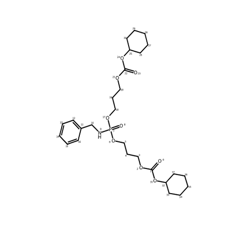 O=C(OCCCOP(=O)(NCc1ccccc1)OCCCOC(=O)OC1CCCCC1)OC1CCCCC1